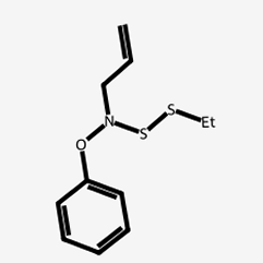 C=CCN(Oc1ccccc1)SSCC